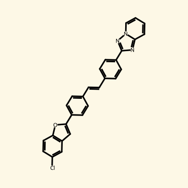 Clc1ccc2oc(-c3ccc(C=Cc4ccc(-c5nc6ccccn6n5)cc4)cc3)cc2c1